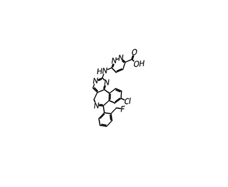 O=C(O)c1ccc(Nc2ncc3c(n2)-c2ccc(Cl)cc2C(c2ccccc2CF)=NC3)nn1